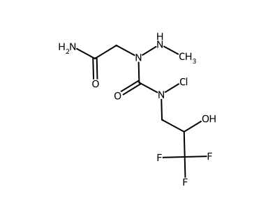 CNN(CC(N)=O)C(=O)N(Cl)CC(O)C(F)(F)F